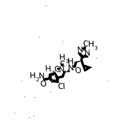 Cc1ncc([C@H](CC(=O)NC[C@H](Cc2ccc(C(N)=O)cc2Cl)N(C)C)C2CC2)cn1